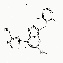 N#Cc1cc(-c2nc(N)nc3c2cnn3Cc2c(F)cccc2F)ccn1